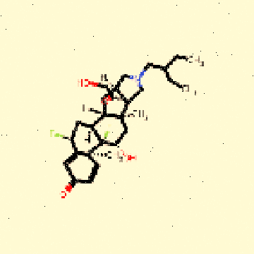 CCC(CC)CN1C[C@@H]2C[C@H]3[C@@H]4C[C@H](F)C5=CC(=O)C=C[C@]5(C)[C@@]4(F)[C@@H](O)C[C@]3(C)[C@]2(C(=O)CO)C1